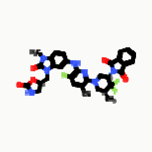 C[C@@H]1CN(c2nc(Nc3ccc4c(c3)n(C[C@H]3CNC(=O)O3)c(=O)n4C)c(F)cc2C#N)C[C@H](N2C(=O)c3ccccc3C2=O)C1(F)F